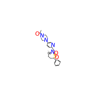 CC(=O)N1CCN(c2ccc(CN3[C@@H](C)CCC(c4ccccc4)S3(=O)=O)nc2)CC1